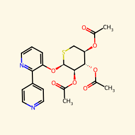 CC(=O)O[C@@H]1[C@@H](OC(C)=O)[C@@H](Oc2cccnc2-c2ccncc2)SC[C@H]1OC(C)=O